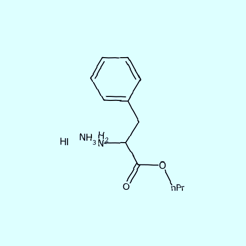 CCCOC(=O)C(N)Cc1ccccc1.I.N